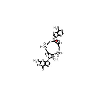 Nc1nc2c(ncn2[C@@H]2O[C@@H]3COP(=O)(O)CO[C@@H]4[C@H](O)[C@@H](COP(=O)(O)O[C@H]3[C@H]2O)O[C@H]4n2cnc3c(N)ncnc32)c(=O)[nH]1